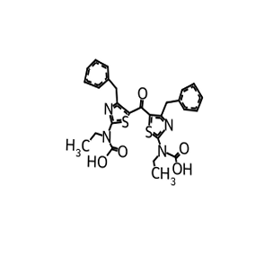 CCN(C(=O)O)c1nc(Cc2ccccc2)c(C(=O)c2sc(N(CC)C(=O)O)nc2Cc2ccccc2)s1